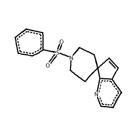 O=S(=O)(c1ccccc1)N1CCC2(C=Cc3cccnc32)CC1